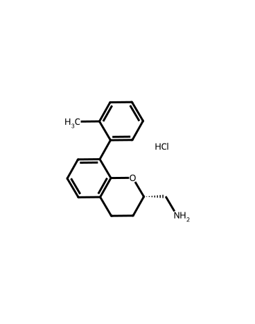 Cc1ccccc1-c1cccc2c1O[C@H](CN)CC2.Cl